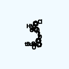 CC(C)(C)OC(=O)N1CCCc2cc(OCCN3CCC4(CC3)C(=O)Nc3ccc(Cl)cc34)ccc21